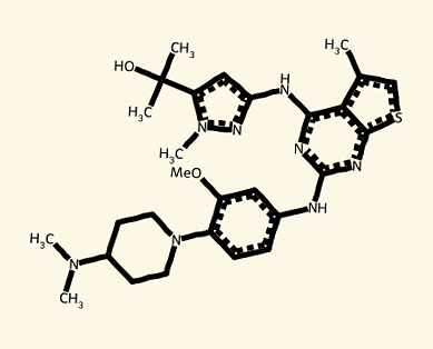 COc1cc(Nc2nc(Nc3cc(C(C)(C)O)n(C)n3)c3c(C)csc3n2)ccc1N1CCC(N(C)C)CC1